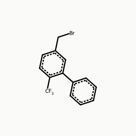 FC(F)(F)c1ccc(CBr)cc1-c1ccccc1